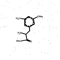 COC(=O)C(N)Cc1cc(C)cc(OC)c1